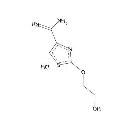 Cl.N=C(N)c1csc(OCCO)n1